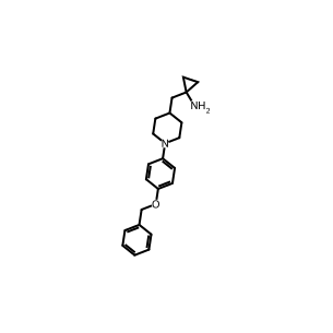 NC1(CC2CCN(c3ccc(OCc4ccccc4)cc3)CC2)CC1